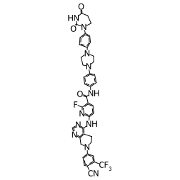 N#Cc1ccc(N2CCc3c(ncnc3Nc3ccc(C(=O)Nc4ccc(N5CCN(c6ccc(N7CCC(=O)NC7=O)cc6)CC5)cc4)c(F)n3)C2)cc1C(F)(F)F